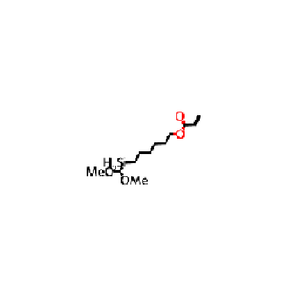 C=CC(=O)OCCCCCC[SiH2]C(OC)OC